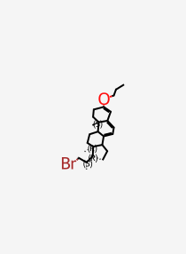 CCCOC1=CC2=CC=C3C4CC[C@H]([C@H](C)CBr)[C@@]4(C)CCC3[C@]2(C)CC1